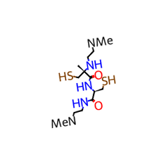 CNCCNC(=O)[C@H](CS)NC(=O)[C@](C)(CS)NCCNC